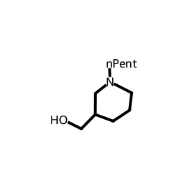 CCCCCN1CCCC(CO)C1